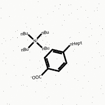 CCCCCCCc1ccc(C(=O)[O-])cc1.CCCC[N+](CCCC)(CCCC)CCCC